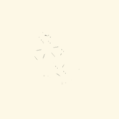 CCCCc1cn(C2C(C(=O)O)CCCCC2C(C)C)c(=O)n1Cc1cnccc1-c1ccccc1-c1nnn[nH]1